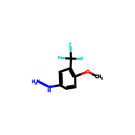 COc1ccc(NN)cc1C(F)(F)F